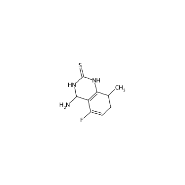 CC1CC=C(F)C2=C1NC(=S)NC2N